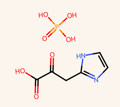 O=C(O)C(=O)Cc1ncc[nH]1.O=P(O)(O)O